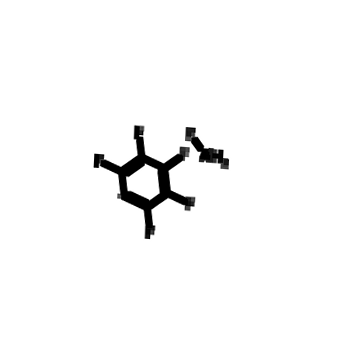 Fc1[c]c(F)c(F)c(F)c1F.[F][AlH2]